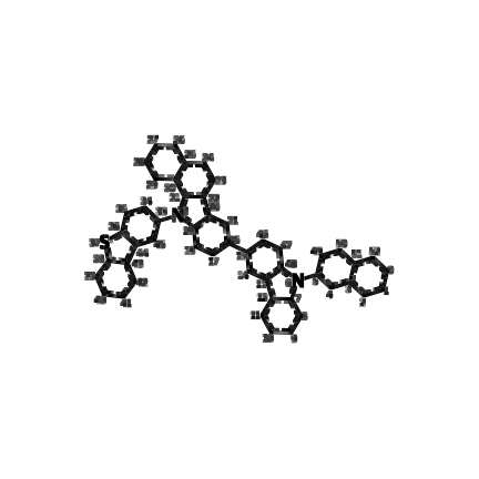 c1ccc2cc(-n3c4ccccc4c4cc(-c5ccc6c(c5)c5ccc7ccccc7c5n6-c5ccc6sc7ccccc7c6c5)ccc43)ccc2c1